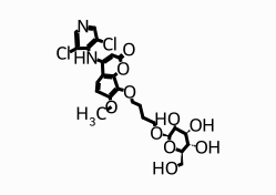 COc1ccc2c(Nc3c(Cl)cncc3Cl)cc(=O)oc2c1OCCCCO[C@@H]1O[C@H](CO)[C@@H](O)[C@@H](O)[C@@H]1O